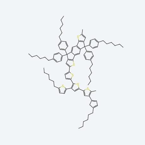 CCCCCCC1=CC=C(c2cc(-c3cc(-c4ccc(CCCCCC)s4)c(-c4ccc(-c5cc6c(s5)-c5cc7c(cc5C6(c5ccc(CCCCCC)cc5)c5ccc(CCCCCC)cc5)-c5sc(C)cc5C7(c5ccc(CCCCCC)cc5)c5ccc(CCCCCC)cc5)s4)s3)sc2C)C1